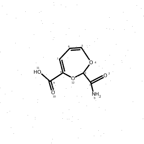 NC(=O)C1OC=CC=C(C(=O)O)O1